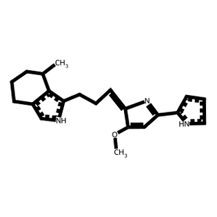 COC1=CC(c2ccc[nH]2)=NC1=CCCc1[nH]cc2c1C(C)CCC2